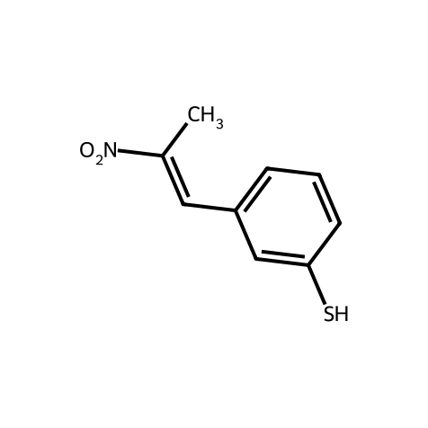 C/C(=C\c1cccc(S)c1)[N+](=O)[O-]